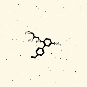 C=Cc1ccc(-c2cc(N)ccc2NCC(O)CO)cc1